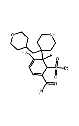 CCS(=O)(=O)C1C(C(N)=O)=CC=C(C)C1(F)C1(CC2CCOCC2)CCNCC1